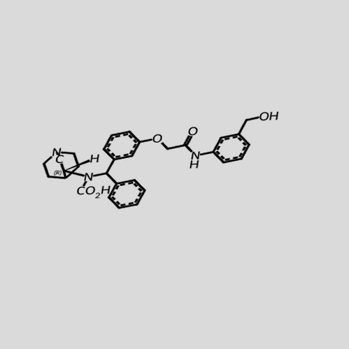 O=C(COc1cccc(C(c2ccccc2)N(C(=O)O)[C@H]2CN3CCC2CC3)c1)Nc1cccc(CO)c1